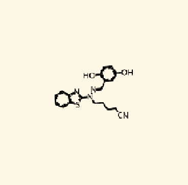 N#CCCCCN(/N=C/c1cc(O)ccc1O)c1nc2ccccc2s1